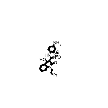 CC(C)CCn1c(=O)c(C2=NS(=O)(=O)c3cc(N)ccc3N2)c(O)c2ccccc21